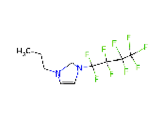 CCCN1C=CN(C(F)(F)C(F)(F)C(F)(F)C(F)(F)F)C1